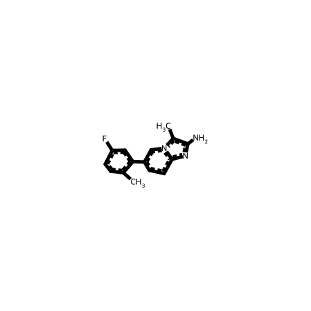 Cc1ccc(F)cc1-c1ccc2nc(N)c(C)n2c1